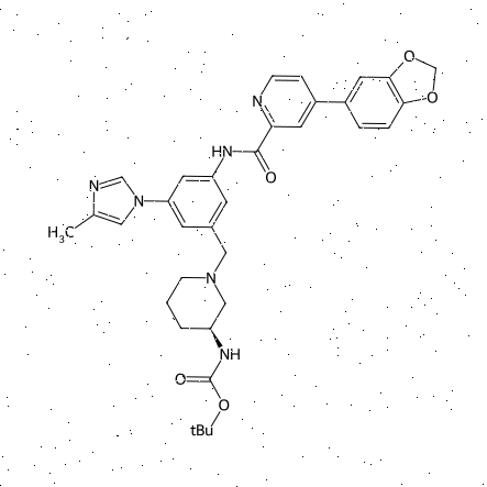 Cc1cn(-c2cc(CN3CCC[C@H](NC(=O)OC(C)(C)C)C3)cc(NC(=O)c3cc(-c4ccc5c(c4)OCO5)ccn3)c2)cn1